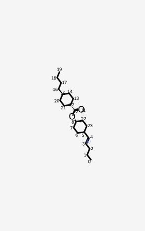 CCC/C=C/C1CCC(OC(=O)[C@H]2CC[C@H](CCCC)CC2)CC1